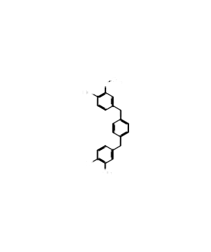 COc1cc(Cc2ccc(Cc3ccc(O)c(O)c3)cc2)ccc1O